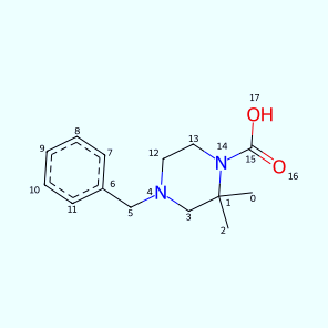 CC1(C)CN(Cc2ccccc2)CCN1C(=O)O